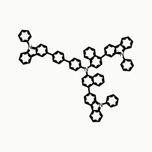 c1ccc(-n2c3ccccc3c3cc(-c4ccc(-c5ccc(N(c6ccc(-c7ccc8c9ccccc9n(-c9ccccc9)c8c7)c7ccccc67)c6ccc(-c7ccc8c9ccccc9n(-c9ccccc9)c8c7)c7ccccc67)cc5)cc4)ccc32)cc1